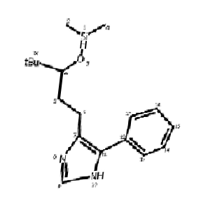 C[SiH](C)OC(CCc1nc[nH]c1-c1ccccc1)C(C)(C)C